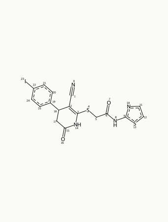 N#CC1=C(SCC(=O)Nc2nccs2)NC(=O)CC1c1ccc(I)cc1